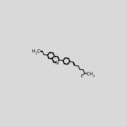 C=CCc1ccc2cc(-c3ccc(/C=C/CCCC(C)F)cc3)ncc2c1